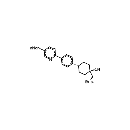 CCCCCCCCCc1cnc(-c2ccc([C@H]3CC[C@@](C#N)(C[C@H](C)CC)CC3)cc2)nc1